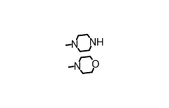 CN1CCNCC1.CN1CCOCC1